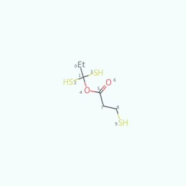 CCC(S)(S)OC(=O)CCS